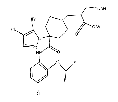 COCC(CN1CCC(C(=O)Nc2ccc(Cl)cc2OC(F)F)(n2ncc(Cl)c2C(C)C)CC1)C(=O)OC